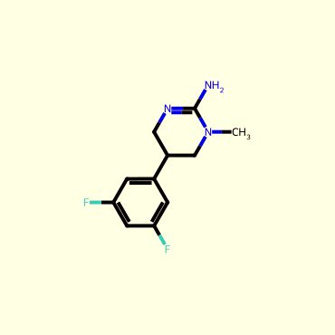 CN1CC(c2cc(F)cc(F)c2)CN=C1N